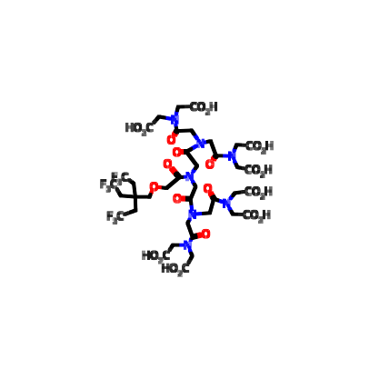 O=C(O)CN(CC(=O)O)C(=O)CN(CC(=O)N(CC(=O)O)CC(=O)O)C(=O)CN(CC(=O)N(CC(=O)N(CC(=O)O)CC(=O)O)CC(=O)N(CC(=O)O)CC(=O)O)C(=O)COCC(CC(F)(F)F)(CC(F)(F)F)CC(F)(F)F